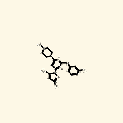 CC(=O)N1CCN(c2cc(-n3nc(C)cc3C)nc(Nc3cccc(C(F)(F)F)c3)n2)CC1